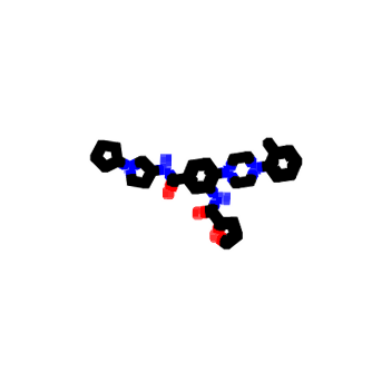 Cc1ccccc1N1CCN(c2ccc(C(=O)NC3CCN(C4CCCC4)C3)cc2NC(=O)c2ccco2)CC1